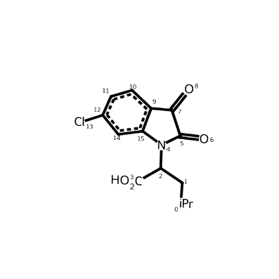 CC(C)CC(C(=O)O)N1C(=O)C(=O)c2ccc(Cl)cc21